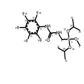 CO[Si](CNC(=O)Nc1c(F)c(F)c(F)c(F)c1F)(OC(C)C)OC(C)C